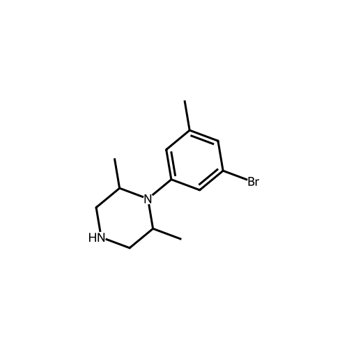 Cc1cc(Br)cc(N2C(C)CNCC2C)c1